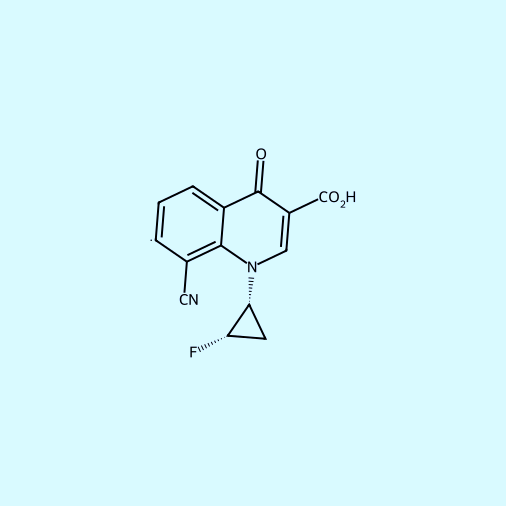 N#Cc1[c]ccc2c(=O)c(C(=O)O)cn([C@@H]3C[C@@H]3F)c12